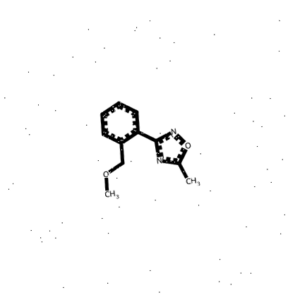 COCc1ccccc1-c1noc(C)n1